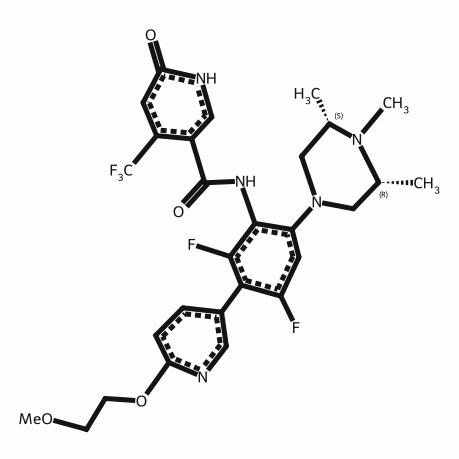 COCCOc1ccc(-c2c(F)cc(N3C[C@@H](C)N(C)[C@@H](C)C3)c(NC(=O)c3c[nH]c(=O)cc3C(F)(F)F)c2F)cn1